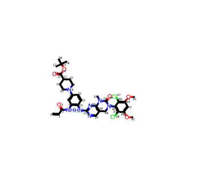 C=CC(=O)Nc1cc(N2CCC(C(=O)OC(C)(C)C)CC2)ccc1Nc1ncc2c(n1)N(C)C(=O)N(c1c(Cl)c(OC)cc(OC)c1Cl)C2